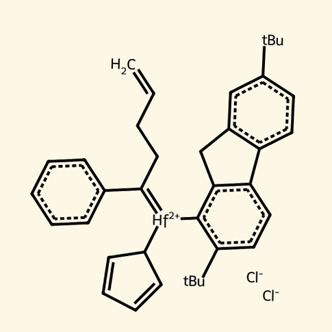 C=CCC[C](c1ccccc1)=[Hf+2]([c]1c(C(C)(C)C)ccc2c1Cc1cc(C(C)(C)C)ccc1-2)[CH]1C=CC=C1.[Cl-].[Cl-]